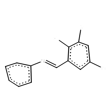 Oc1c(Br)cc(Br)cc1/C=N/c1ccccc1